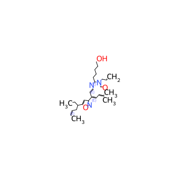 C=CCN(C=O)\C(CCCCCO)=N/C=C/C(=C\C=C(C)C)c1cc(C(CC)C/C=C\C)on1